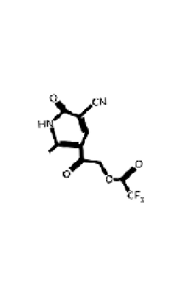 Cc1[nH]c(=O)c(C#N)cc1C(=O)COC(=O)C(F)(F)F